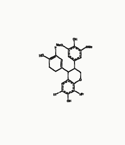 CCCc1c(O)c(CC)cc2c1OCC(c1cc(OC)c(O)c(OC)c1)C2C1=CC(F)=C(O)CC1